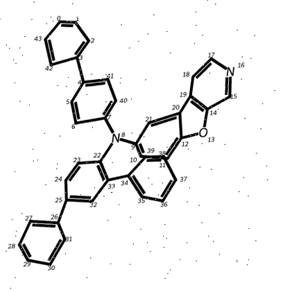 c1ccc(-c2ccc(N(c3ccc4oc5cnccc5c4c3)c3ccc(-c4ccccc4)cc3-c3ccccc3)cc2)cc1